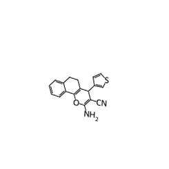 N#CC1=C(N)OC2=C(CCc3ccccc32)C1c1ccsc1